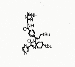 CC(C)(C)CC[C@H](c1ccc(C(=O)NCc2nn[nH]n2)cc1)N1C(=O)C(c2cnccn2)=NC12CCC(C(C)(C)C)CC2